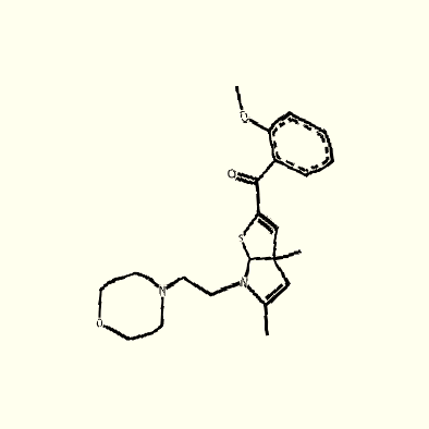 COc1ccccc1C(=O)C1=CC2(C)C=C(C)N(CCN3CCOCC3)C2S1